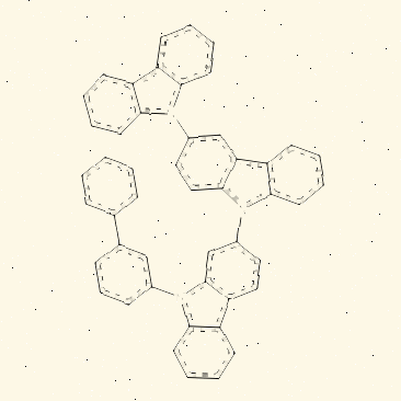 c1ccc(-c2cccc(-n3c4ccccc4c4ccc(-n5c6ccccc6c6cc(-n7c8ccccc8c8ccccc87)ccc65)cc43)c2)cc1